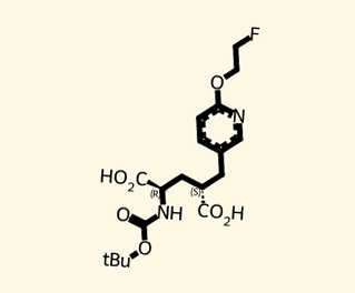 CC(C)(C)OC(=O)N[C@H](C[C@H](Cc1ccc(OCCF)nc1)C(=O)O)C(=O)O